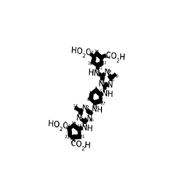 Cc1nc(Nc2cccc(Nc3nc(C)nc(Nc4cc(C(=O)O)cc(C(=O)O)c4)n3)c2)nc(Nc2cc(C(=O)O)cc(C(=O)O)c2)n1